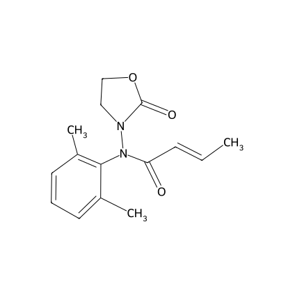 C/C=C/C(=O)N(c1c(C)cccc1C)N1CCOC1=O